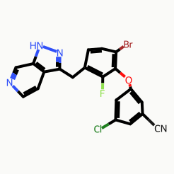 N#Cc1cc(Cl)cc(Oc2c(Br)ccc(Cc3n[nH]c4cnccc34)c2F)c1